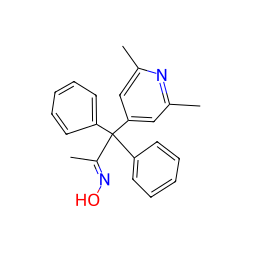 CC(=NO)C(c1ccccc1)(c1ccccc1)c1cc(C)nc(C)c1